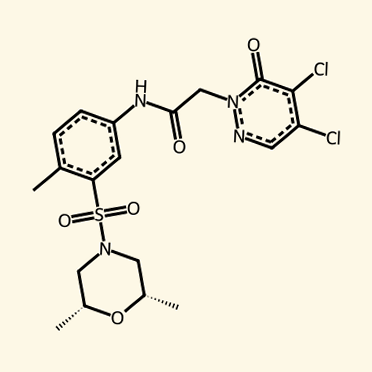 Cc1ccc(NC(=O)Cn2ncc(Cl)c(Cl)c2=O)cc1S(=O)(=O)N1C[C@@H](C)O[C@@H](C)C1